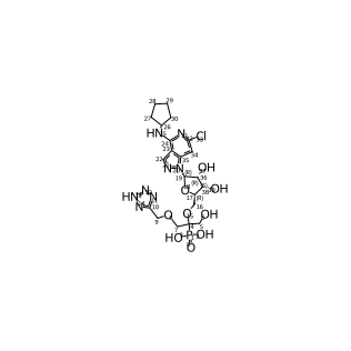 O=P(O)(O)C(CO)(COCc1nn[nH]n1)OC[C@H]1O[C@@H](n2ncc3c(NC4CCCC4)nc(Cl)cc32)[C@H](O)[C@@H]1O